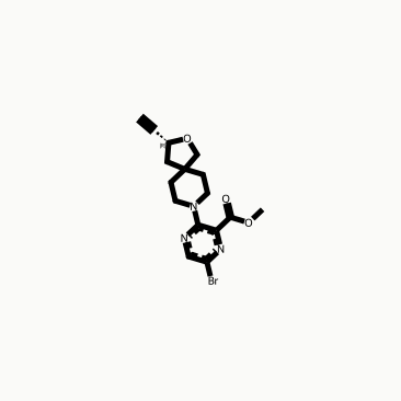 C#C[C@H]1CC2(CCN(c3ncc(Br)nc3C(=O)OC)CC2)CO1